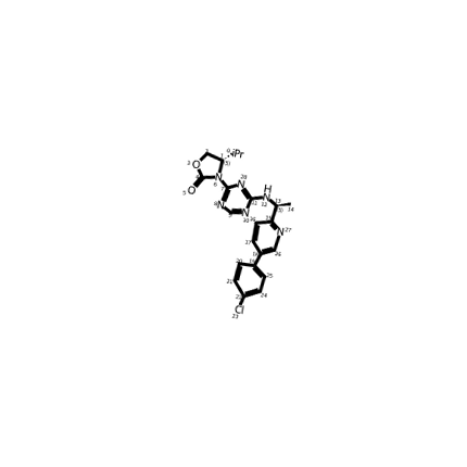 CC(C)[C@H]1COC(=O)N1c1ncnc(N[C@@H](C)c2ccc(-c3ccc(Cl)cc3)cn2)n1